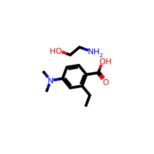 CCc1cc(N(C)C)ccc1C(=O)O.NCCO